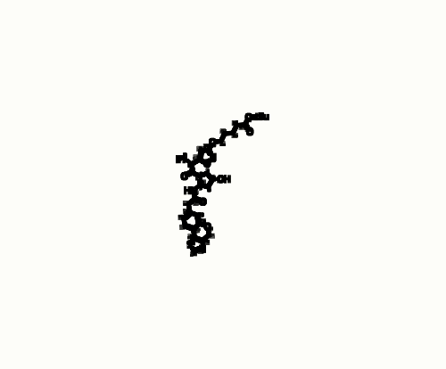 CC(C)[C@H](C(=O)N1C[C@H](O)C[C@H]1NC(=O)Cc1ccc2c(c1)OCc1ncsc1-2)c1cc(OCCCCC(=O)OC(C)(C)C)no1